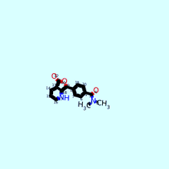 CN(C)C(=O)c1ccc(-c2oc(=O)c3ccc[nH]c2-3)cc1